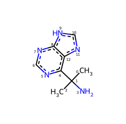 CC(C)(N)c1ncnc2[nH]cnc12